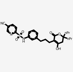 CCCC1(CCC)CC(O)=C(CCCc2cccc(NS(=O)(=O)c3ccc(C#N)cn3)c2)C(=O)O1